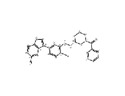 O=C(c1cnccn1)N1CCC[C@@H](CNc2nc(-c3c[nH]c4ncc(Cl)cc34)ncc2F)C1